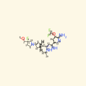 COCC1(F)CCN(C2=C[C@@H]3C(/C(=C/C(=N)c4cnc(N)c(OC(F)F)c4)NC(C)C)[C@@H]3C2)C1